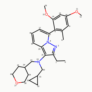 CCc1nn2c(-c3c(C)cc(OC)cc3OC)cccc2c1N(CC1CCOCC1)CC1CC1